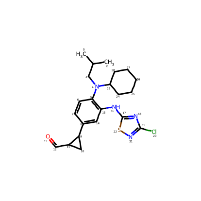 CC(C)CN(c1ccc(C2CC2C=O)cc1Nc1nc(Cl)ns1)C1CCCCC1